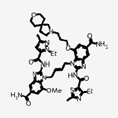 CCc1nc(C)sc1C(=O)Nc1nc2cc(C(N)=O)cc(OCCCN3CCC4(CCOCC4)C3)c2n1C/C=C/Cn1c(NC(=O)c2cc(C)nn2CC)nc2cc(C(N)=O)cc(OC)c21